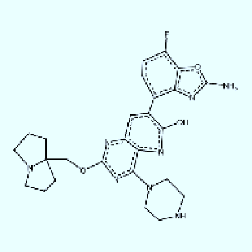 Nc1nc2c(-c3cc4nc(OCC56CCCN5CCC6)nc(N5CCNCC5)c4nc3O)ccc(F)c2o1